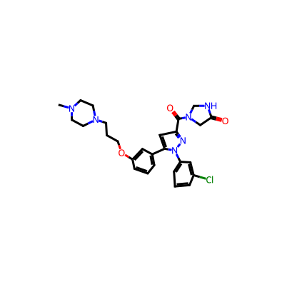 CN1CCN(CCCOc2cccc(-c3cc(C(=O)N4CNC(=O)C4)nn3-c3cccc(Cl)c3)c2)CC1